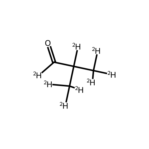 [2H]C(=O)C([2H])(C([2H])([2H])[2H])C([2H])([2H])[2H]